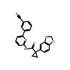 N#Cc1cccc(-c2cccc(NC(=O)C3(c4ccc5c(c4)OCO5)CC3)n2)c1